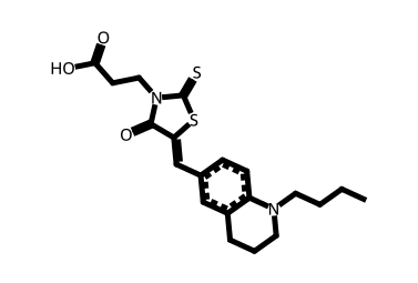 CCCCN1CCCc2cc(/C=C3\SC(=S)N(CCC(=O)O)C3=O)ccc21